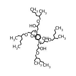 CCCCC(CC)COCC(O)CN(CC(O)COCC(CC)CCCC)c1ccc(N(CC(O)COCC(CC)CCCC)CC(O)COCC(CC)CCCC)cc1